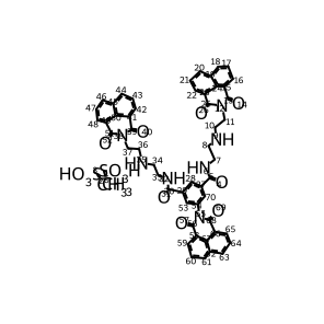 CS(=O)(=O)O.CS(=O)(=O)O.O=C(NCCNCCN1C(=O)c2cccc3cccc(c23)C1=O)c1cc(C(=O)NCCNCCN2C(=O)c3cccc4cccc(c34)C2=O)cc(N2C(=O)c3cccc4cccc(c34)C2=O)c1